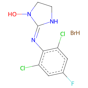 Br.ON1CCNC1=Nc1c(Cl)cc(F)cc1Cl